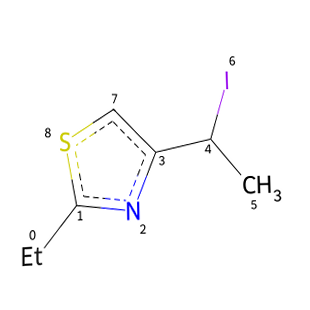 CCc1nc(C(C)I)cs1